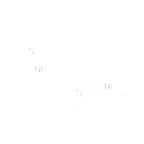 CN(C(=O)NCc1ccc2c(c1)CN(C1CCC(=O)NC1=O)C2=O)c1ccccc1